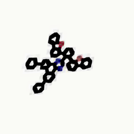 c1ccc(-c2ccc3c(c2)c2cc(-c4ccccc4)ccc2c2nc(-c4c(-c5cccc6c5oc5ccccc56)cccc4-c4cccc5c4oc4ccccc45)cnc32)cc1